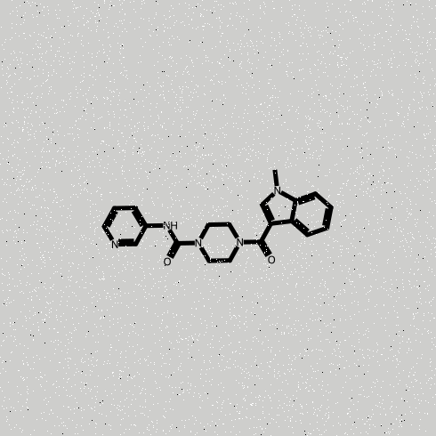 Cn1cc(C(=O)N2CCN(C(=O)Nc3cccnc3)CC2)c2ccccc21